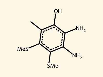 CSc1c(C)c(O)c(N)c(N)c1SC